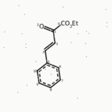 CCOC(=O)C(=O)/C=C/c1ccccc1